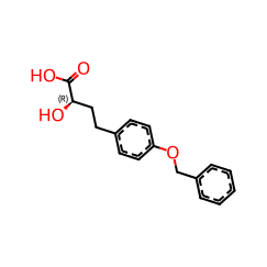 O=C(O)[C@H](O)CCc1ccc(OCc2ccccc2)cc1